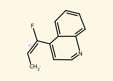 [CH2]/C=C(/F)c1ccnc2ccccc12